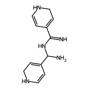 N=C(NC(N)C1=CCNC=C1)C1=CCNC=C1